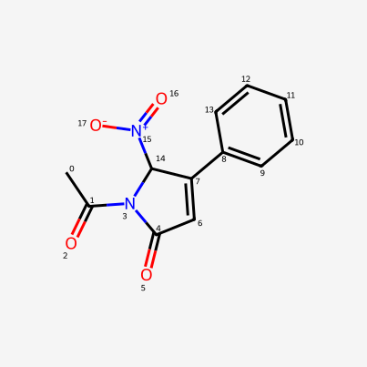 CC(=O)N1C(=O)C=C(c2ccccc2)C1[N+](=O)[O-]